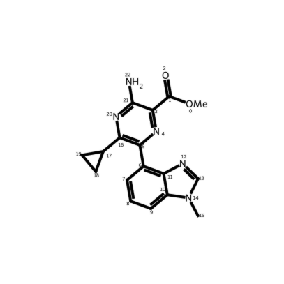 COC(=O)c1nc(-c2cccc3c2ncn3C)c(C2CC2)nc1N